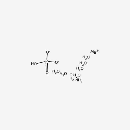 N.O.O.O.O.O.O.O.O=P([O-])([O-])O.[Mg+2]